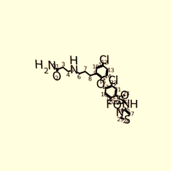 NC(=O)CCNCCCc1cc(Cl)ccc1Oc1cc(F)c(S(=O)(=O)Nc2cscn2)cc1Cl